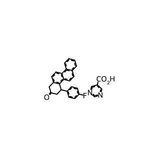 O=C(O)c1cncnc1.O=C1Cc2ccc3c(ccc4ccccc43)c2C(c2ccc(F)cc2)C1